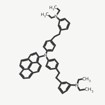 CCN(CC)c1cccc(CCc2ccc(N(c3ccc(CCc4cccc(N(CC)CC)c4)cc3)c3ccc4ccc5cccc6ccc3c4c56)cc2)c1